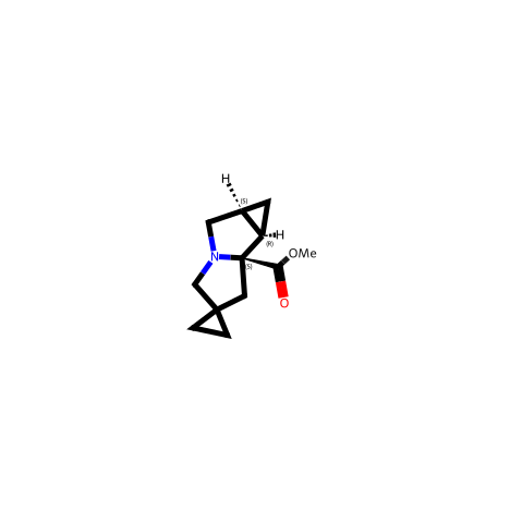 COC(=O)[C@@]12CC3(CC3)CN1C[C@H]1C[C@H]12